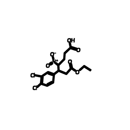 CCOC(=O)CC(c1ccc(Cl)c(Cl)c1)C(CCC(=O)O)[N+](=O)[O-]